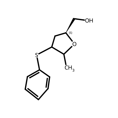 CC1O[C@H](CO)CC1Sc1ccccc1